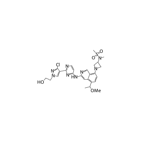 COC(C)c1ccc(N2CC(N(C)S(C)(=O)=O)C2)c2cnc(Nc3ccnc(-c4cn(CCO)nc4Cl)n3)cc12